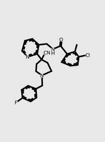 Cc1c(Cl)cccc1C(=O)NCc1cccnc1C1(C#N)CCN(Cc2ccc(F)cc2)CC1